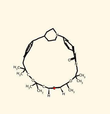 CC1OC(C)(C)Cn2cnc3cc(ccc3c2=O)N2CCC(CC2)c2ccc(cc2)CC(C)(C)COC(C)(C)C[C@H]2C[C@@H]1C2